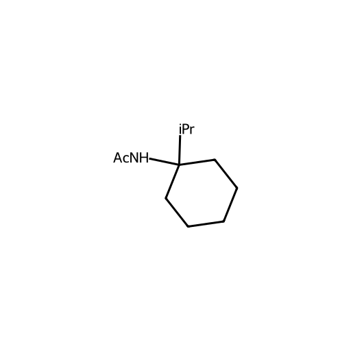 CC(=O)NC1(C(C)C)CCCCC1